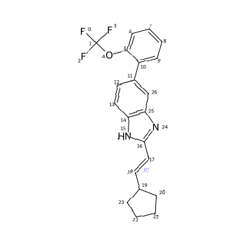 FC(F)(F)Oc1ccccc1-c1ccc2[nH]c(/C=C/C3CCCC3)nc2c1